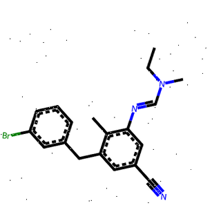 CCN(C)C=Nc1cc(C#N)cc(Cc2cccc(Br)c2)c1C